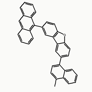 Cc1ccc(-c2ccc3oc4ccc(-c5c6ccccc6cc6ccccc56)cc4c3c2)c2ccccc12